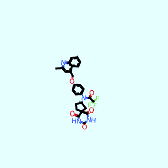 Cc1cc(COc2ccc(N(C(=O)C(F)(F)F)[C@H]3CCC4(C3)C(=O)NC(=O)NC4=O)cc2)c2ccccc2n1